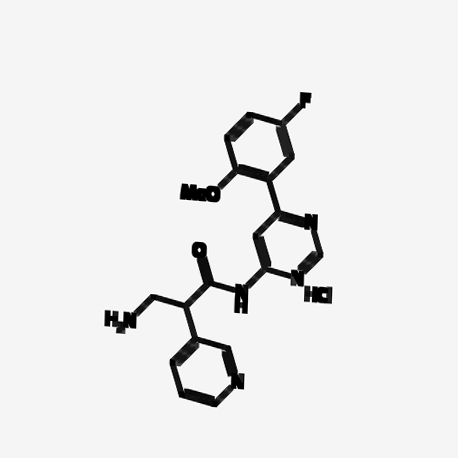 COc1ccc(F)cc1-c1cc(NC(=O)C(CN)c2cccnc2)ncn1.Cl